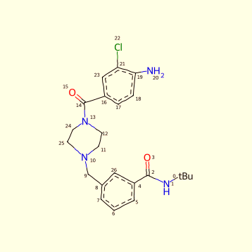 CC(C)(C)NC(=O)c1cccc(CN2CCN(C(=O)c3ccc(N)c(Cl)c3)CC2)c1